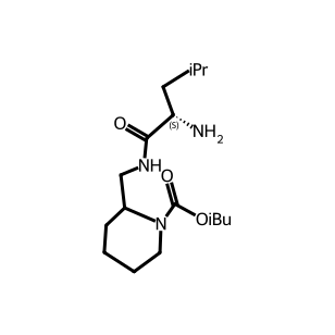 CC(C)COC(=O)N1CCCCC1CNC(=O)[C@@H](N)CC(C)C